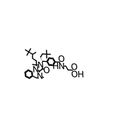 CC(CCC1(C)N=C(N(C)Cc2ccccc2)C(=O)N1[C@H](CCC(C)(C)C)c1ccc(C(=O)NCCC(=O)O)cc1)C(C)(C)C